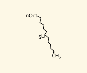 C=CCCCCCCCCCCCCCCCCCC.[Li].[S]